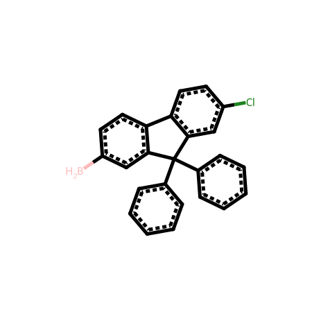 Bc1ccc2c(c1)C(c1ccccc1)(c1ccccc1)c1cc(Cl)ccc1-2